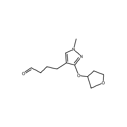 Cn1cc(CCCC=O)c(OC2CCOC2)n1